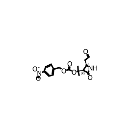 CC(C)(OC(=O)OCc1ccc([N+](=O)[O-])cc1)[C@@H]1C(=O)N[C@@H]1CC=O